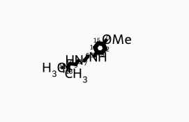 COc1ccc(NCCNCCN(C)C)cc1